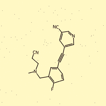 CN(CCC#N)Cc1cc(C#Cc2cncc(C#N)c2)ccc1F